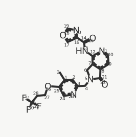 Cc1cc(CN2Cc3c(ccnc3NC(=O)c3cocn3)C2=O)ncc1OCCC(F)(F)F